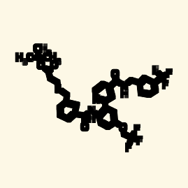 CC(C)(C)OC(=O)CCSCc1cccc(C(=O)Nc2ccc(OCC(F)(F)F)cc2-c2cc(C(=O)NCc3cccc(C(F)(F)F)c3)ccn2)c1